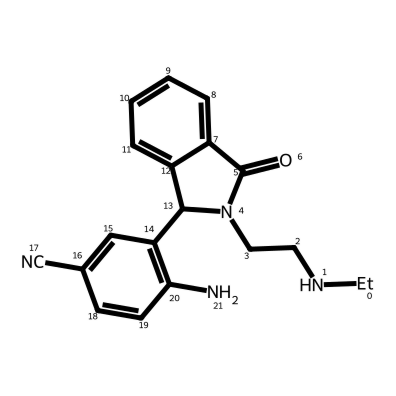 CCNCCN1C(=O)c2ccccc2C1c1cc(C#N)ccc1N